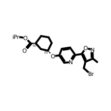 Cc1noc(-c2ccc(O[C@H]3CCC[C@H](C(=O)OC(C)C)C3)cn2)c1CBr